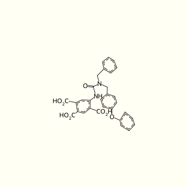 O=C(O)c1cc(C(=O)O)c(C(=O)O)cc1NC(=O)N(Cc1ccccc1)Cc1ccc(Oc2ccccc2)cc1